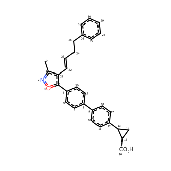 Cc1noc(-c2ccc(-c3ccc(C4CC4C(=O)O)cc3)cc2)c1C=CCCc1ccccc1